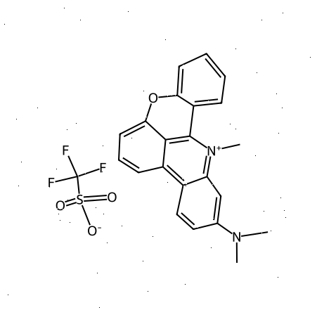 CN(C)c1ccc2c3cccc4c3c([n+](C)c2c1)-c1ccccc1O4.O=S(=O)([O-])C(F)(F)F